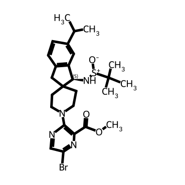 COC(=O)c1nc(Br)cnc1N1CCC2(CC1)Cc1ccc(C(C)C)cc1[C@H]2N[S+]([O-])C(C)(C)C